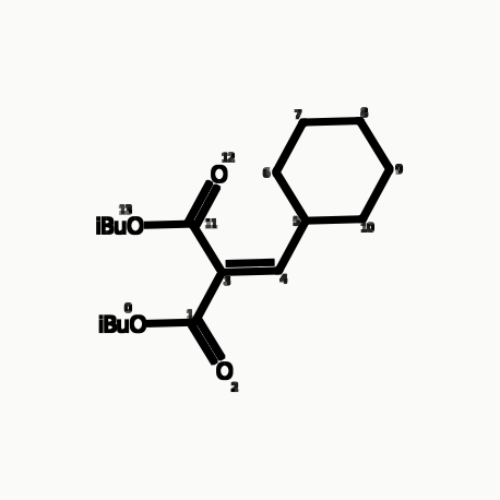 CC(C)COC(=O)C(=CC1CCCCC1)C(=O)OCC(C)C